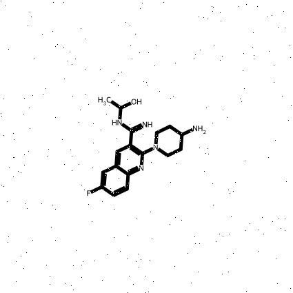 CC(O)NC(=N)c1cc2cc(F)ccc2nc1N1CCC(N)CC1